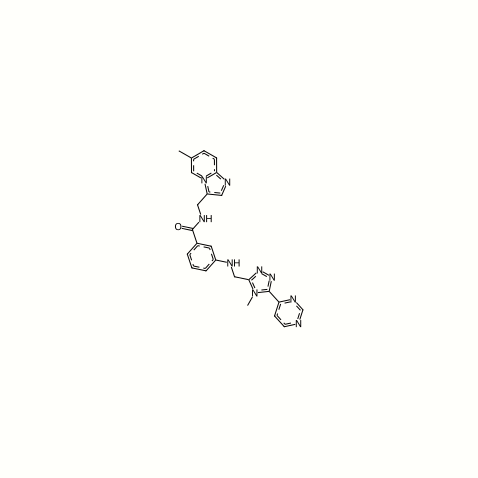 Cc1ccc2ncc(CNC(=O)c3cccc(NCc4nnc(-c5ccncn5)n4C)c3)n2c1